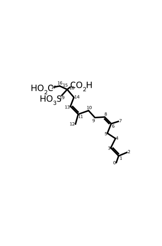 CC(C)=CCCC(C)=CCCC(C)=CCC(CC(=O)O)(C(=O)O)S(=O)(=O)O